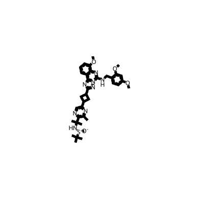 COc1ccc(CNc2nc3c(OC)cccc3c3nc(C4CC(c5cnc(C(C)(C)N[S+]([O-])C(C)(C)C)c(C)n5)C4)nn23)c(OC)c1